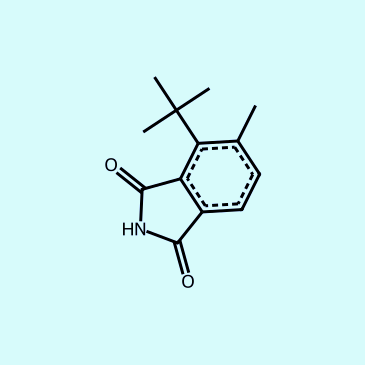 Cc1ccc2c(c1C(C)(C)C)C(=O)NC2=O